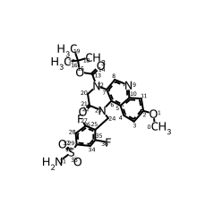 COc1ccc2c3c(cnc2c1)N(C(=O)OC(C)(C)C)CC(=O)N3Cc1c(F)cc(S(N)(=O)=O)cc1F